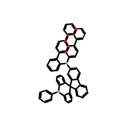 c1ccc(-c2ccc(-c3ccccc3N(c3ccc4c(c3)C3(c5ccccc5-4)c4ccccc4N(c4ccccc4)c4ccccc43)c3ccc4c(ccc5ccccc54)c3)cc2)cc1